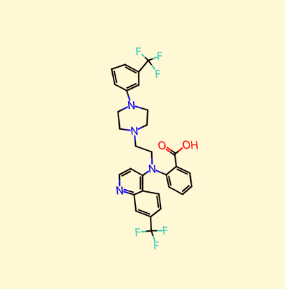 O=C(O)c1ccccc1N(CCN1CCN(c2cccc(C(F)(F)F)c2)CC1)c1ccnc2cc(C(F)(F)F)ccc12